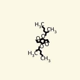 CCCCC(CC)COc1c2ccoc2c(OCC(CC)CCCC)c2ccoc12